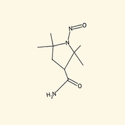 CC1(C)CC(C(N)=O)C(C)(C)N1N=O